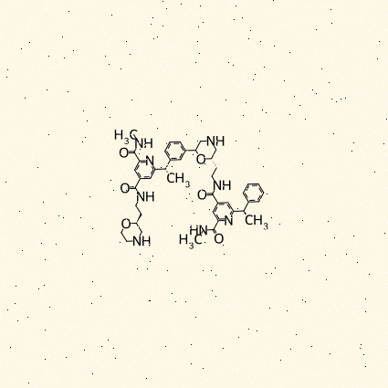 CNC(=O)c1cc(C(=O)NCC[C@H]2CNCC(c3cccc([C@H](C)c4cc(C(=O)NCC[C@H]5CNCCO5)cc(C(=O)NC)n4)c3)O2)cc([C@H](C)c2ccccc2)n1